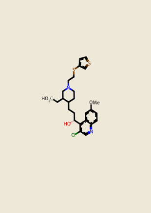 COc1ccc2ncc(Cl)c([C@H](O)CCC3CCN(CCSc4ccsc4)CC3CC(=O)O)c2c1